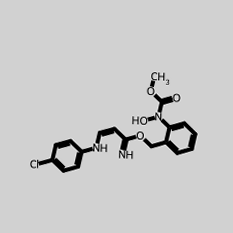 COC(=O)N(O)c1ccccc1COC(=N)/C=C\Nc1ccc(Cl)cc1